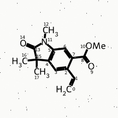 C=Cc1cc2c(cc1C(=O)OC)N(C)C(=O)C2(C)C